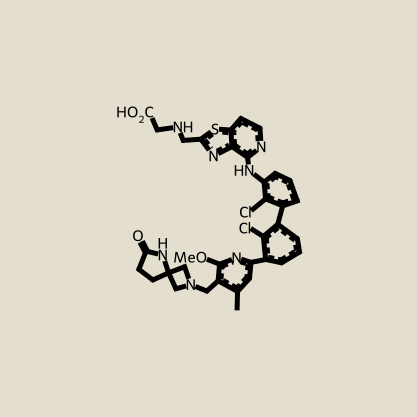 COc1nc(-c2cccc(-c3cccc(Nc4nccc5sc(CNCC(=O)O)nc45)c3Cl)c2Cl)cc(C)c1CN1CC2(CCC(=O)N2)C1